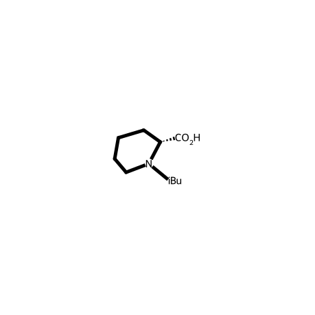 CCC(C)N1CCCC[C@@H]1C(=O)O